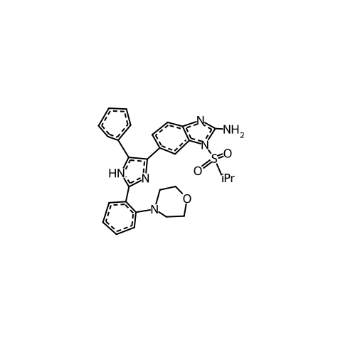 CC(C)S(=O)(=O)n1c(N)nc2ccc(-c3nc(-c4ccccc4N4CCOCC4)[nH]c3-c3ccccc3)cc21